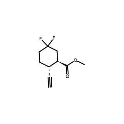 C#C[C@@H]1CCC(F)(F)C[C@H]1C(=O)OC